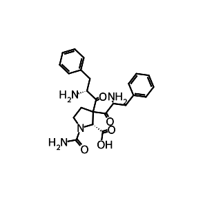 NC(=O)N1CCC(C(=O)[C@H](N)Cc2ccccc2)(C(=O)[C@H](N)Cc2ccccc2)[C@@H]1C(=O)O